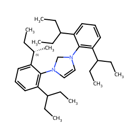 CCC(CC)c1cccc(C(CC)CC)c1N1C=CN(c2c(C(CC)CC)cccc2[C@@H](C)CC)C1